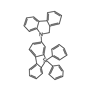 c1ccc([Si]2(c3ccccc3)c3ccccc3-c3ccc(N4Cc5ccccc5-c5ccccc54)cc32)cc1